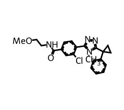 COCCNC(=O)c1ccc(-c2nnc(C3(c4ccccc4)CC3)n2C)c(Cl)c1